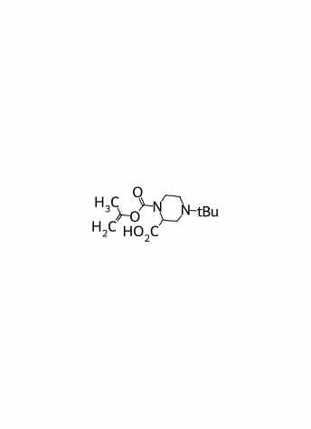 C=C(C)OC(=O)N1CCN(C(C)(C)C)CC1C(=O)O